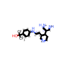 N=C/C(=C\N)c1ccncc1/C=C/Nc1ccc(C(O)(C(F)(F)F)C(F)(F)F)cc1